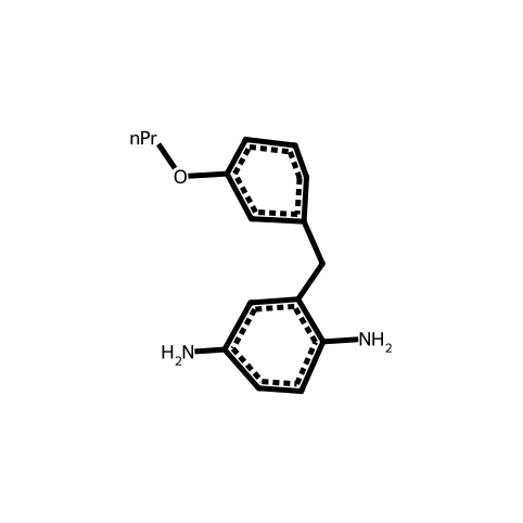 CCCOc1cccc(Cc2cc(N)ccc2N)c1